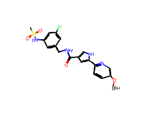 CC(C)(C)Oc1ccc(-c2cc(C(=O)NCc3cc(Cl)cc(NS(C)(=O)=O)c3)c[nH]2)nc1